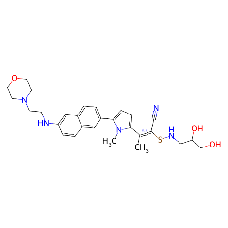 C/C(=C(/C#N)SNCC(O)CO)c1ccc(-c2ccc3cc(NCCN4CCOCC4)ccc3c2)n1C